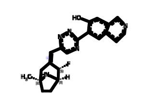 C[C@@]12CC[C@@H](N1)[C@@H](F)/C(=C\c1cnc(-c3cc4ccncc4cc3O)nn1)C2